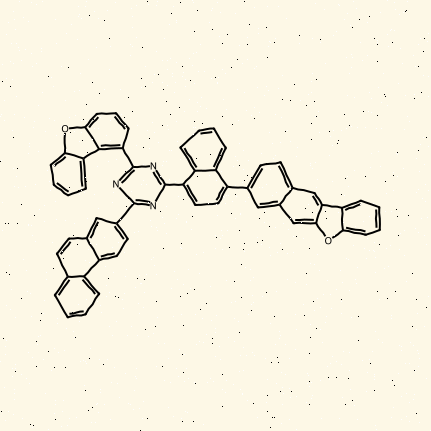 c1ccc2c(c1)ccc1cc(-c3nc(-c4ccc(-c5ccc6cc7c(cc6c5)oc5ccccc57)c5ccccc45)nc(-c4cccc5oc6ccccc6c45)n3)ccc12